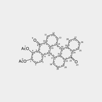 CC(=O)Oc1ccc2c(c1OC(C)=O)c(=O)c1cccc3c1c2c1cccc2c(=O)c4ccccc4c3c21